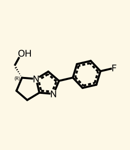 OC[C@H]1CCc2nc(-c3ccc(F)cc3)cn21